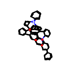 c1ccc(-c2ccc(N(c3ccc4c(c3)C3(c5ccccc5-4)c4ccccc4N(c4ccccc4)c4ccccc43)c3ccccc3-c3ccccc3-c3ccccc3)cc2)cc1